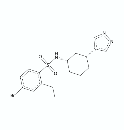 CCc1cc(Br)ccc1S(=O)(=O)N[C@H]1CCC[C@@H](n2cnnc2)C1